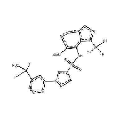 [2H]C([2H])([2H])n1ncc2cnc(OC)c(NS(=O)(=O)c3cnn(-c4cc(C(C)(F)F)ccn4)c3)c21